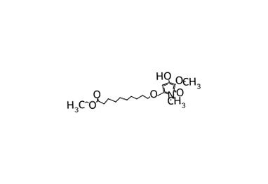 CCOC(=O)CCCCCCCCCOCc1cc(O)c(OC)c(=O)n1C